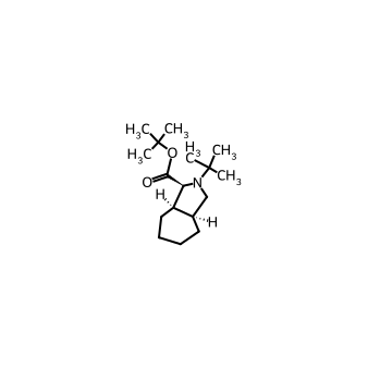 CC(C)(C)OC(=O)[C@@H]1[C@@H]2CCCC[C@@H]2CN1C(C)(C)C